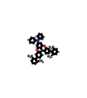 Cc1cccc(C)c1-c1ccc2c(c1)Oc1cc(N(c3ccccc3)c3ccccc3)cc3c1B2c1ccc(-c2c(C)cccc2C)cc1O3